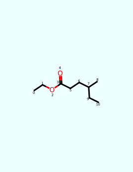 CCOC(=O)CCC(C)CC